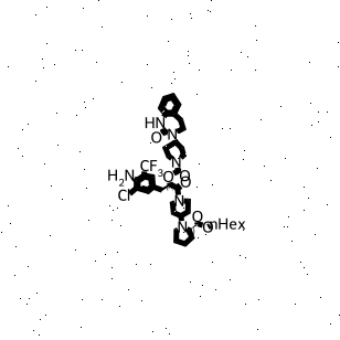 CCCCCCOC(=O)[C@@H]1CCCCN1C1CCN(C(=O)[C@@H](Cc2cc(Cl)c(N)c(C(F)(F)F)c2)OC(=O)N2CCC(N3CCc4ccccc4NC3=O)CC2)CC1